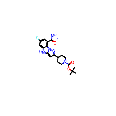 CC(C)(C)OC(=O)N1CCC(c2cc3[nH]c4cc(F)cc(C(N)=O)c4n3n2)CC1